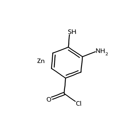 Nc1cc(C(=O)Cl)ccc1S.[Zn]